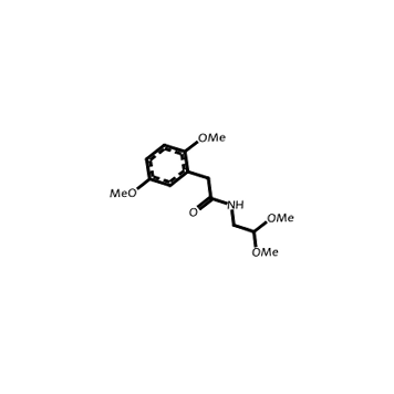 COc1ccc(OC)c(CC(=O)NCC(OC)OC)c1